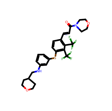 O=C(/C=C/c1ccc(Sc2cccc(NCC3CCOCC3)c2)c(C(F)(F)F)c1C(F)(F)F)N1CCOCC1